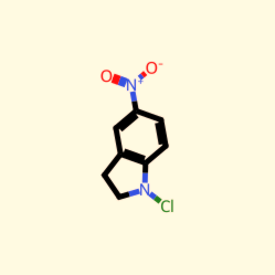 O=[N+]([O-])c1ccc2c(c1)CCN2Cl